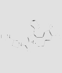 COc1cc2c(cc1OC)-c1c(-c3cccs3)cc(C(=O)N3CCC(N)C3)n1CC2